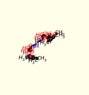 CC(C)Cc1ccc2c(c1)[C@]13CCN(C)[C@H](C2)C1C=C[C@H](OC1OC(C(=O)NCCSSCCNC(=O)C2OC(O[C@H]4C=CC5[C@H]6Cc7ccc(OC(C)C)c8c7[C@@]5(CCN6C)[C@H]4O8)[C@@H](O)[C@H](O)[C@@H]2O)[C@@H](O)[C@@H](O)[C@@H]1O)C3